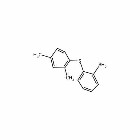 Bc1ccccc1Sc1ccc(C)cc1C